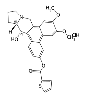 COc1cc2c3c(c4ccc(OC(=O)c5cccs5)cc4c2cc1OC)[C@H](O)[C@@H]1CCCN1C3.Cl